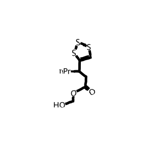 CCCC(CC(=O)OCO)C1=CSSS1